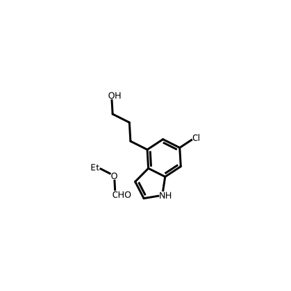 CCOC=O.OCCCc1cc(Cl)cc2[nH]ccc12